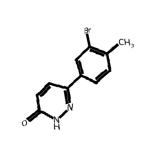 Cc1ccc(-c2ccc(=O)[nH]n2)cc1Br